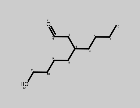 CCCCC(C[C]=O)CCCCO